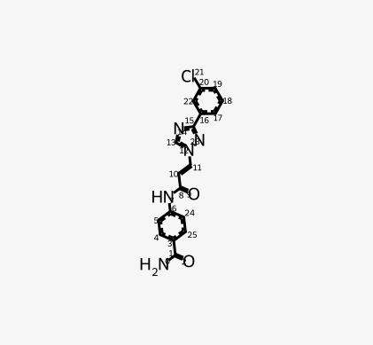 NC(=O)c1ccc(NC(=O)/C=C/n2cnc(-c3cccc(Cl)c3)n2)cc1